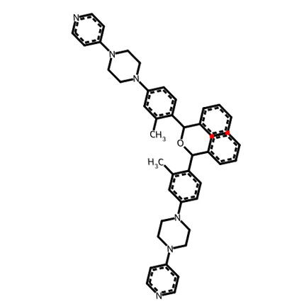 Cc1cc(N2CCN(c3ccncc3)CC2)ccc1C(OC(c1ccccc1)c1ccc(N2CCN(c3ccncc3)CC2)cc1C)c1ccccc1